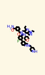 CCc1nc2c(cnn2CC)c(NC2CCOCC2)c1CN(Cc1ccc(F)c(-c2cccc(CNCC3CCNCC3)c2)c1)C(=O)c1cccc(C(N)=O)c1